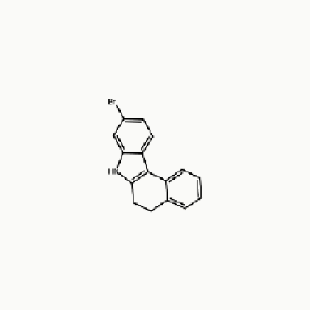 Brc1ccc2c3c([nH]c2c1)CCc1ccccc1-3